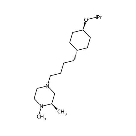 CC(C)O[C@H]1CC[C@H](CCCCN2CCN(C)[C@H](C)C2)CC1